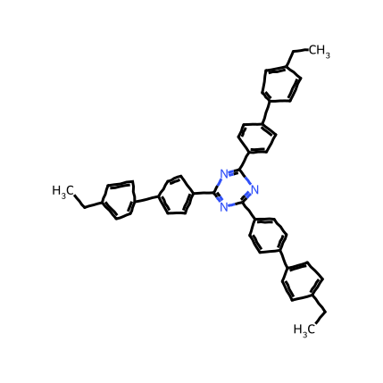 CCc1ccc(-c2ccc(-c3nc(-c4ccc(-c5ccc(CC)cc5)cc4)nc(-c4ccc(-c5ccc(CC)cc5)cc4)n3)cc2)cc1